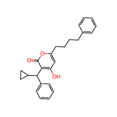 O=c1oc(CCCCc2ccccc2)cc(O)c1C(c1ccccc1)C1CC1